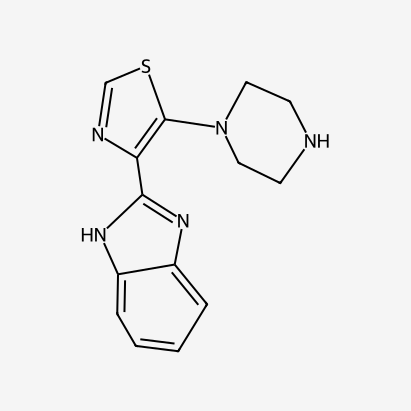 c1ccc2[nH]c(-c3ncsc3N3CCNCC3)nc2c1